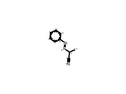 N#CC(I)/N=N/c1ccccc1